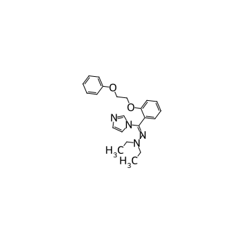 CCN(CC)N=C(c1ccccc1OCCOc1ccccc1)n1ccnc1